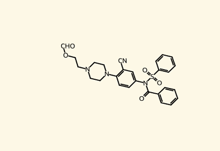 N#Cc1cc(N(C(=O)c2ccccc2)S(=O)(=O)c2ccccc2)ccc1N1CCN(CCOC=O)CC1